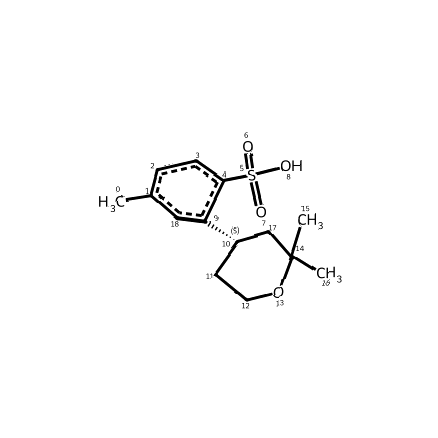 Cc1ccc(S(=O)(=O)O)c([C@H]2CCOC(C)(C)C2)c1